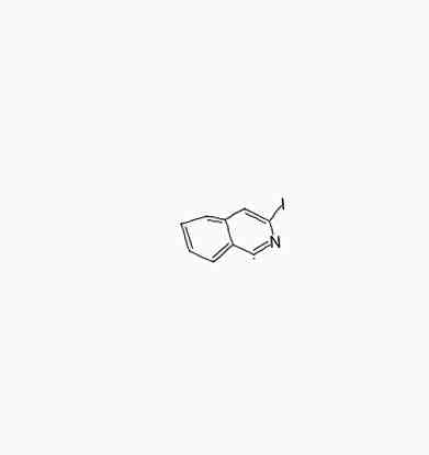 Ic1cc2ccccc2[c]n1